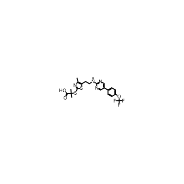 Cc1nc(SC(C)(C)C(=O)O)sc1CCN(C)c1ncc(-c2ccc(OC(F)(F)F)cc2)cn1